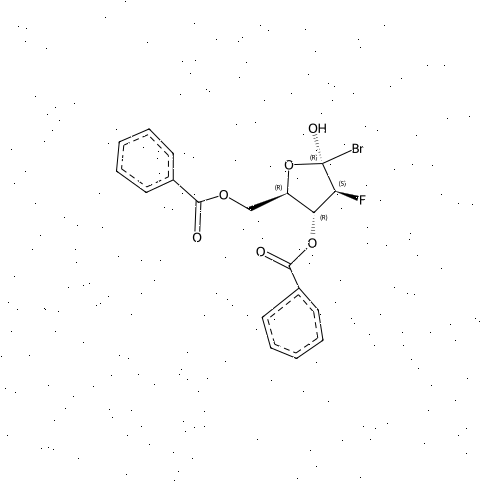 O=C(OC[C@H]1O[C@@](O)(Br)[C@@H](F)[C@@H]1OC(=O)c1ccccc1)c1ccccc1